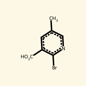 Cc1cnc(Br)c(C(=O)O)c1